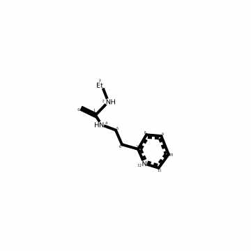 C=C(NCC)NCCc1ccccn1